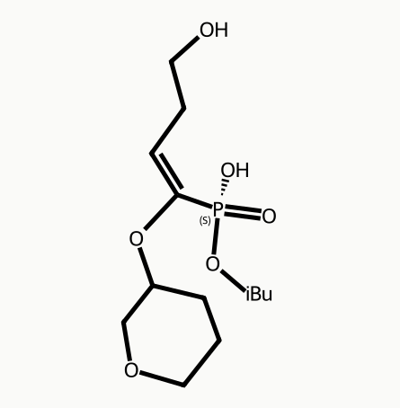 CCC(C)O[P@@](=O)(O)C(=CCCO)OC1CCCOC1